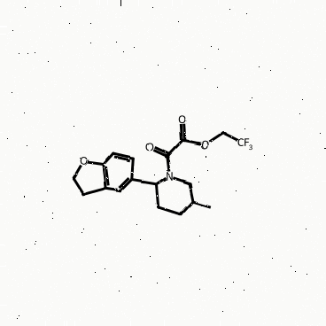 CC1CCC(c2ccc3c(c2)CCO3)N(C(=O)C(=O)OCC(F)(F)F)C1